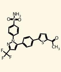 CC(=O)c1ccc(-c2ccc(-c3cc(C(F)(F)F)nn3-c3ccc(S(N)(=O)=O)cc3)cc2)s1